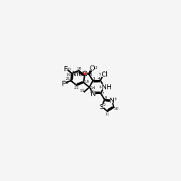 COC(=O)C1=C(Cl)NC(c2nccs2)=NC1(C)c1ccc(F)c(F)c1